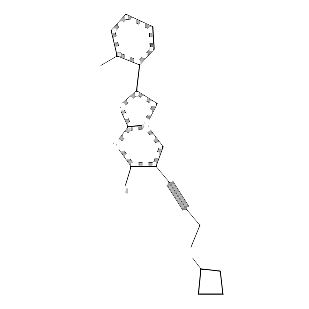 Nc1nc2nc(-c3ccccc3O)cn2cc1C#CCOC1CCC1